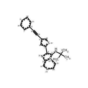 CC(C)(C)Nc1c(-c2cc(C#Cc3ccccc3)cs2)nc2cnccn12